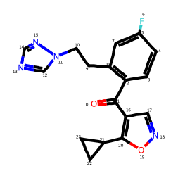 O=C(c1ccc(F)cc1CCn1cncn1)c1cnoc1C1CC1